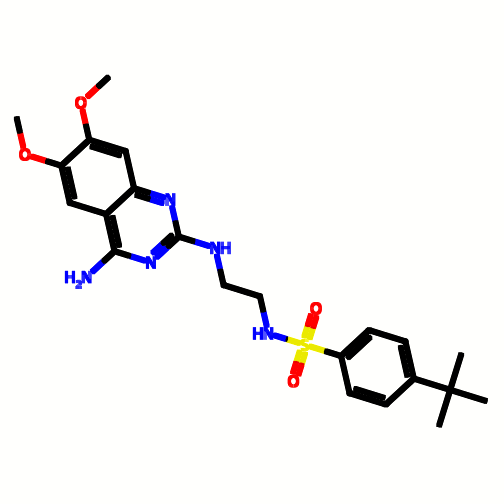 COc1cc2nc(NCCNS(=O)(=O)c3ccc(C(C)(C)C)cc3)nc(N)c2cc1OC